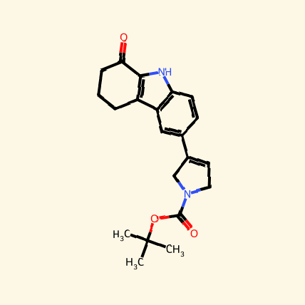 CC(C)(C)OC(=O)N1CC=C(c2ccc3[nH]c4c(c3c2)CCCC4=O)C1